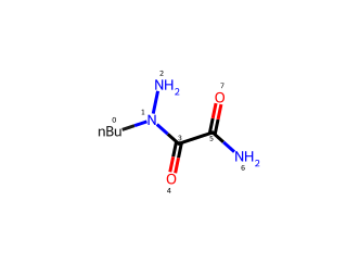 CCCCN(N)C(=O)C(N)=O